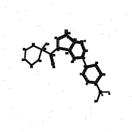 CN(C)c1ccc(-c2cnc3[nH]cc(C(=O)C4(C)CCCCC4)c3n2)cc1